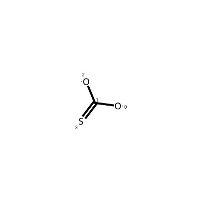 [O]C([O])=S